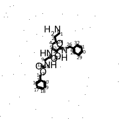 NCCCC[C@H](NC(=O)CNC(=O)OCc1ccccc1)C(=O)C(=O)NCc1ccccc1